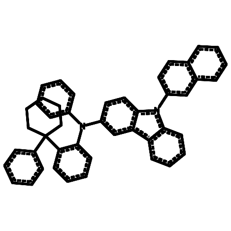 c1ccc(N(c2ccc3c(c2)c2ccccc2n3-c2ccc3ccccc3c2)c2ccccc2C2(c3ccccc3)CCCCC2)cc1